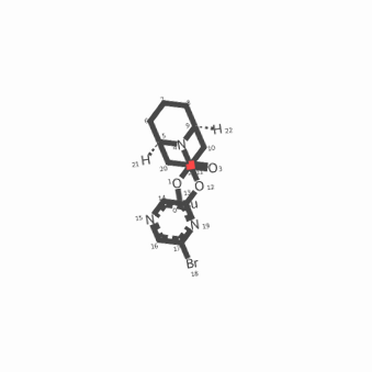 CC(C)(C)OC(=O)N1[C@@H]2CCC[C@H]1CC(Oc1cncc(Br)n1)C2